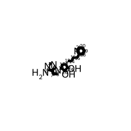 Nc1ncnc2c1ccn2[C@@H]1C[C@H](CCCCc2ccccn2)[C@@H](O)[C@H]1O